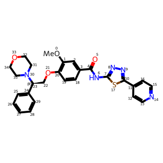 COc1cc(C(=O)Nc2nnc(-c3ccncc3)s2)ccc1OC[C@@H](c1ccccc1)N1CCOCC1